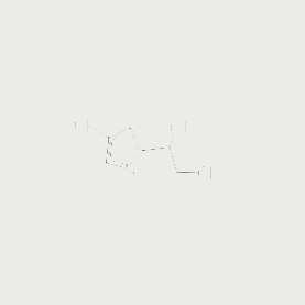 CCC(O)c1cc(Cl)cs1